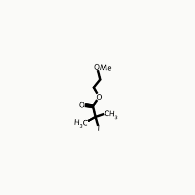 COCCOC(=O)C(C)(C)I